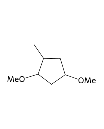 COC1CC(C)C(OC)C1